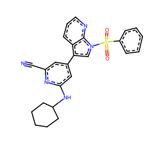 N#Cc1cc(-c2cn(S(=O)(=O)c3ccccc3)c3ncccc23)cc(NC2CCCCC2)n1